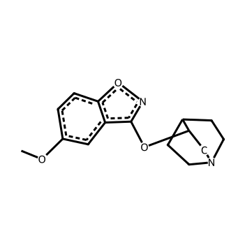 COc1ccc2onc(OC3CN4CCC3CC4)c2c1